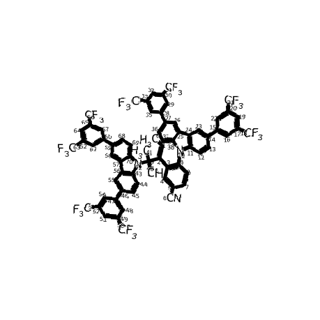 C/C=C(/c1cc(C#N)ccc1-n1c2ccc(-c3cc(C(F)(F)F)cc(C(F)(F)F)c3)cc2c2cc(-c3cc(C(F)(F)F)cc(C(F)(F)F)c3)ccc21)C(C)(C)n1c2ccc(-c3cc(C(F)(F)F)cc(C(F)(F)F)c3)cc2c2cc(-c3cc(C(F)(F)F)cc(C(F)(F)F)c3)ccc21